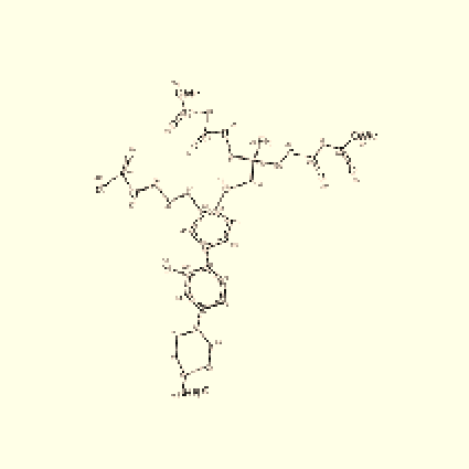 CCCCCCCC1CCC(c2ccc(-c3ccc(OCC(CC)(COC(=O)CC(=O)OC)COC(=O)CC(=O)OC)c(CCCOC(=O)CC)c3)c(CC)c2)CC1